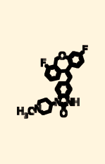 CN1CCC(n2c(=O)[nH]c3cc(C=C4c5ccc(F)cc5OCc5c(F)cccc54)ccc32)CC1